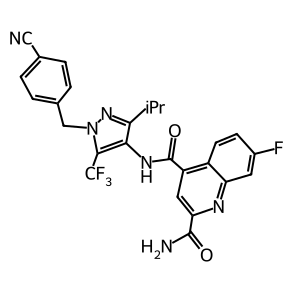 CC(C)c1nn(Cc2ccc(C#N)cc2)c(C(F)(F)F)c1NC(=O)c1cc(C(N)=O)nc2cc(F)ccc12